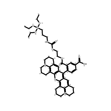 CCO[Si](CCCNC(=O)OCCOC(=O)c1cc(C(=O)O)ccc1C1=c2cc3c4c(c2Oc2c1cc1c5c2CCCN5CCC1)CCC[N+]=4CCC3)(OCC)OCC